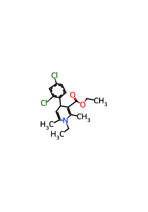 CCOC(=O)C1=C(C)N(CC)C(C)=CC1c1ccc(Cl)cc1Cl